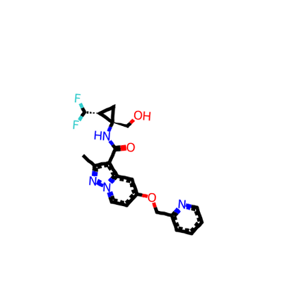 Cc1nn2ccc(OCc3ccccn3)cc2c1C(=O)N[C@@]1(CO)C[C@H]1C(F)F